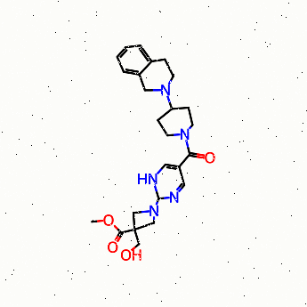 COC(=O)C1(CO)CN(C2N=CC(C(=O)N3CCC(N4CCc5ccccc5C4)CC3)=CN2)C1